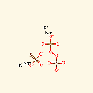 O=S(=O)([O-])OOS(=O)(=O)[O-].O=S([O-])([O-])=S.[K+].[K+].[Na+].[Na+]